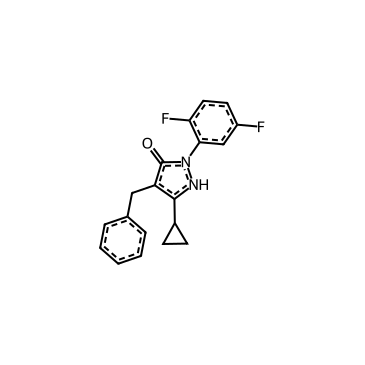 O=c1c(Cc2ccccc2)c(C2CC2)[nH]n1-c1cc(F)ccc1F